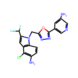 Nc1cncc(-c2nnc(Cn3c(C(F)F)cc4c(Cl)c(N)ccc43)o2)c1